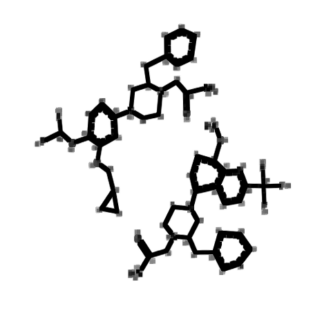 COc1ccc(N2CCN(CC(N)=O)C(Cc3ccccc3)C2)c2ccc(C(F)(F)F)nc12.NC(=O)CN1CCN(c2ccc(OC(F)F)c(OCC3CC3)c2)CC1Cc1ccccc1